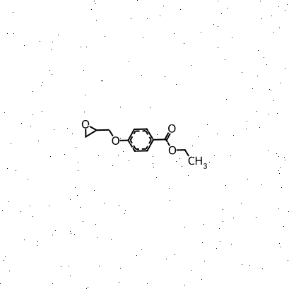 CCOC(=O)c1ccc(OCC2CO2)cc1